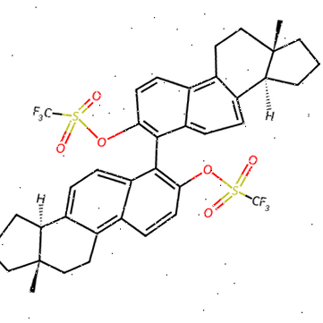 C[C@@]12CCC[C@H]1c1ccc3c(-c4c(OS(=O)(=O)C(F)(F)F)ccc5c6c(ccc45)[C@@H]4CCC[C@@]4(C)CC6)c(OS(=O)(=O)C(F)(F)F)ccc3c1CC2